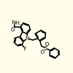 NC(=O)c1cccc2c1c1[c]ccc(F)c1n2Cc1ccccc1CS(=O)(=O)c1ccccc1